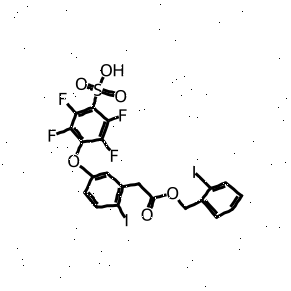 O=C(Cc1cc(Oc2c(F)c(F)c(S(=O)(=O)O)c(F)c2F)ccc1I)OCc1ccccc1I